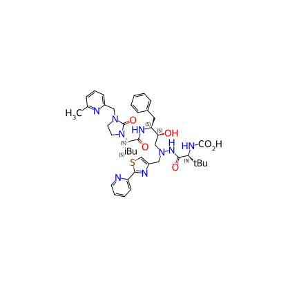 CC[C@H](C)[C@@H](C(=O)N[C@@H](Cc1ccccc1)[C@@H](O)CN(Cc1csc(-c2ccccn2)n1)NC(=O)[C@@H](NC(=O)O)C(C)(C)C)N1CCN(Cc2cccc(C)n2)C1=O